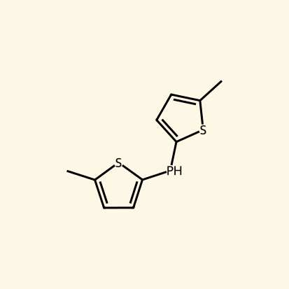 Cc1ccc(Pc2ccc(C)s2)s1